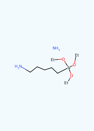 CCO[Si](CCCCCN)(OCC)OCC.N